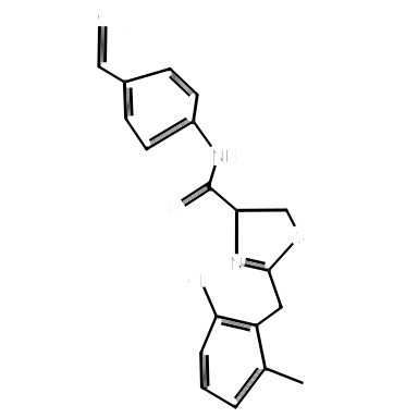 C=Cc1ccc(NC(=O)C2CSC(Cc3c(Cl)cccc3Cl)=N2)cc1